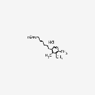 CCCCCCCCCCCCCCCCc1cnc(C)c(C)c1C.Cl